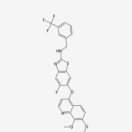 COc1ccc2c(Oc3cc4sc(NCc5cccc(C(F)(F)F)c5)nc4cc3F)ccnc2c1OC